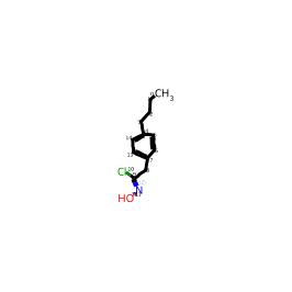 CCCCc1ccc(C/C(Cl)=N/O)cc1